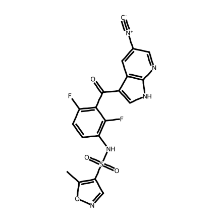 [C-]#[N+]c1cnc2[nH]cc(C(=O)c3c(F)ccc(NS(=O)(=O)c4cnoc4C)c3F)c2c1